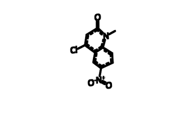 Cn1c(=O)cc(Cl)c2cc([N+](=O)[O-])ccc21